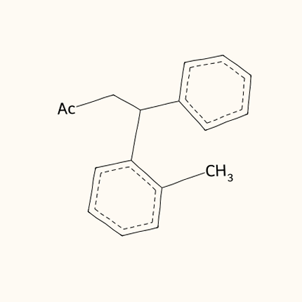 CC(=O)CC(c1ccccc1)c1ccccc1C